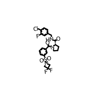 O=C(NCc1ccc(Cl)c(F)c1)[C@H]1CCCN1C(=O)c1cccc(S(=O)(=O)N2CC(F)(F)C2)c1